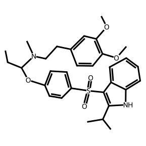 CCC(Oc1ccc(S(=O)(=O)c2c(C(C)C)[nH]c3ccccc23)cc1)N(C)CCc1ccc(OC)c(OC)c1